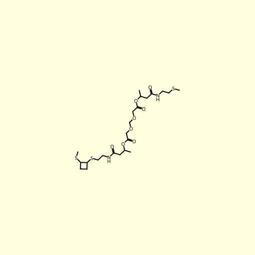 CSCCNC(=O)CC(C)OC(=O)COCOCC(=O)OC(C)CC(=O)NCCSC1CCC1SC